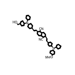 COc1ccc(N(c2ccccc2)c2ccc(C=Cc3ccc4c(C#N)c(C=Cc5ccc(N(c6ccccc6)c6ccc(CO)cc6)cc5)ccc4c3C#N)cc2)cc1